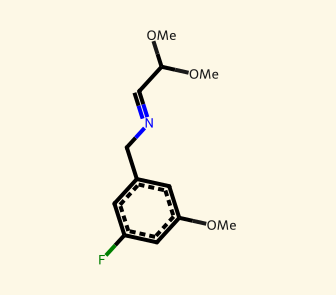 COc1cc(F)cc(C/N=C/C(OC)OC)c1